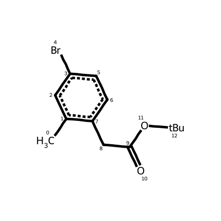 Cc1cc(Br)ccc1CC(=O)OC(C)(C)C